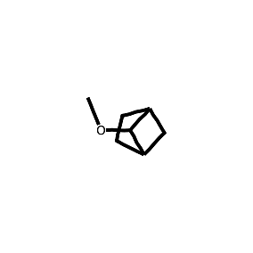 COC1C2CCC1C2